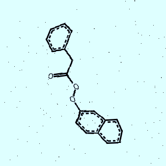 O=C(Cc1ccccc1)OOc1ccc2ccccc2c1